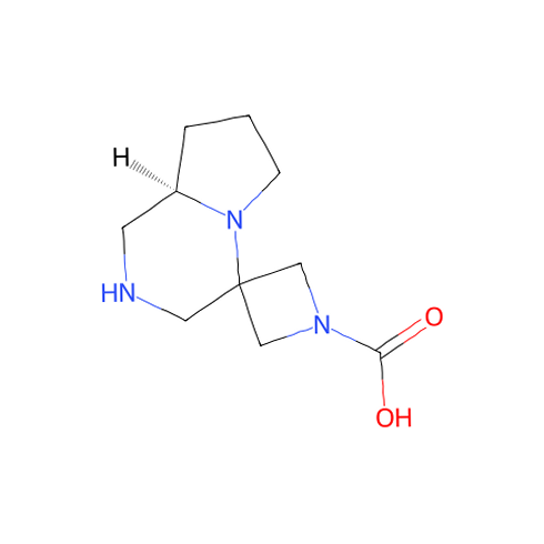 O=C(O)N1CC2(CNC[C@H]3CCCN32)C1